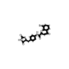 O=C1NC(=O)C(Cc2ccc(NC(=O)c3cc(=O)c4cccc(Br)c4o3)cc2)S1